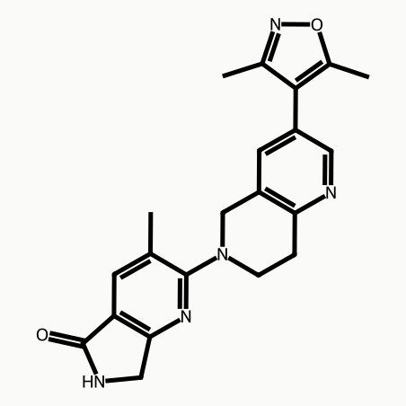 Cc1cc2c(nc1N1CCc3ncc(-c4c(C)noc4C)cc3C1)CNC2=O